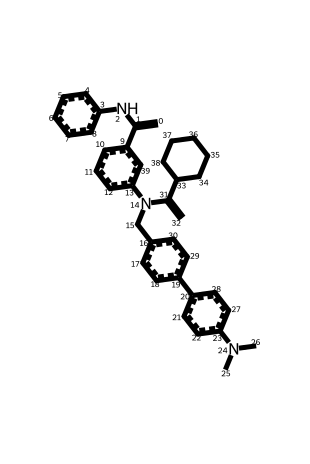 C=C(Nc1ccccc1)c1cccc(N(Cc2ccc(-c3ccc(N(C)C)cc3)cc2)C(=C)C2CCCCC2)c1